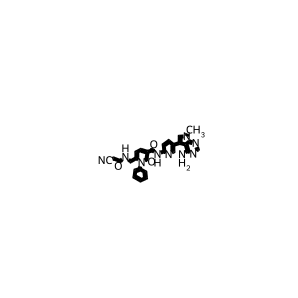 Cn1cc(-c2ccc(NC(=O)c3ccc(CNC(=O)CC#N)n(-c4ccccc4)c3=O)nc2)c2c(N)ncnc21